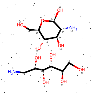 NC[C@H](O)[C@@H](O)[C@H](O)[C@H](O)CO.N[C@@H]1[C@@H](O)[C@H](O)[C@@H](CO)O[C@H]1O